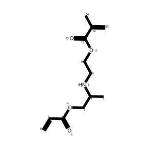 C=CC(=O)OCC(C)NCCOC(=O)C(=C)C